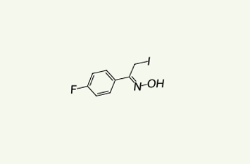 O/N=C(\CI)c1ccc(F)cc1